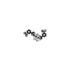 O=C(Nc1nc(-c2cccc([N+](=O)[O-])c2)cs1)Nc1nc(-c2cccc([N+](=O)[O-])c2)cs1